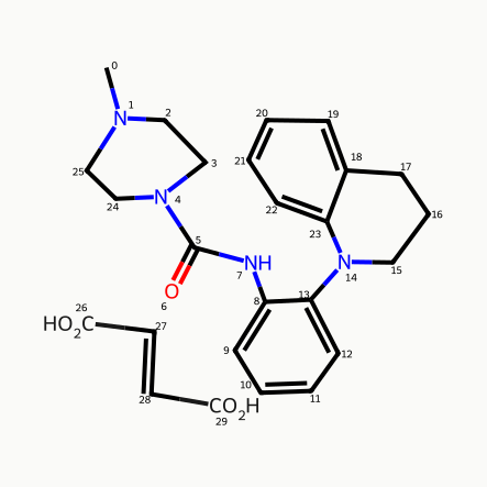 CN1CCN(C(=O)Nc2ccccc2N2CCCc3ccccc32)CC1.O=C(O)C=CC(=O)O